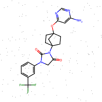 Nc1cc(OC23CCC(N4C(=O)CN(c5cccc(C(F)(F)F)c5)C4=O)(CC2)C3)ncn1